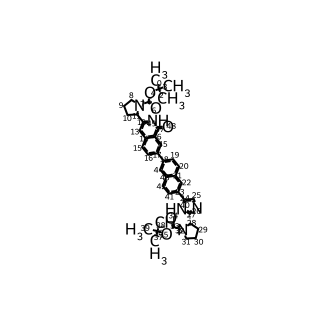 CC(C)(C)OC(=O)N1CCCC1c1cc2ccc(-c3ccc4cc(-c5cnc([C@@H]6CCCN6C(=O)OC(C)(C)C)[nH]5)ccc4c3)cc2c(=O)[nH]1